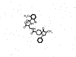 Cc1cccc(Br)c1C(=O)NC(CNC(=O)N1CCC2(CC1)C(=O)N(C)CN2c1ccccc1)C(=O)O